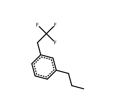 CCCc1cccc(CC(F)(F)F)c1